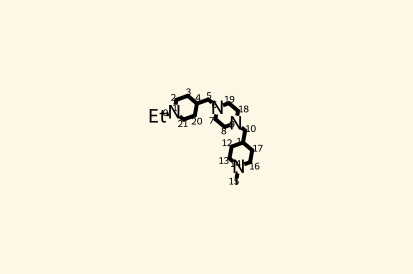 CCN1CCC(CN2CCN(CC3CCN(I)CC3)CC2)CC1